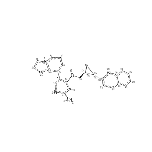 Cc1ncc(-c2cccn3ccnc23)c(OC[C@H]2C[C@@H]2c2ccc3ccccc3n2)n1